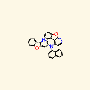 c1ccc2c(N(c3cnc4c(c3)oc3ccccc34)c3ccnc4oc5ccccc5c34)cccc2c1